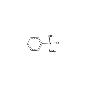 CCCC[Si](Cl)(NC)c1ccccc1